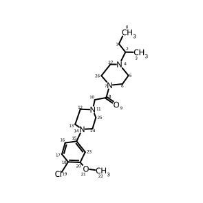 CCC(C)N1CCN(C(=O)CN2CCN(c3ccc(Cl)c(OC)c3)CC2)CC1